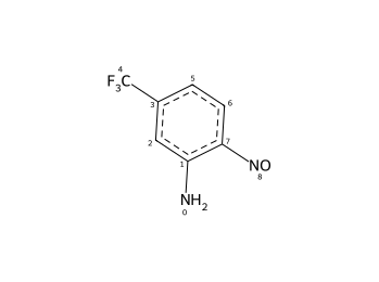 Nc1cc(C(F)(F)F)ccc1N=O